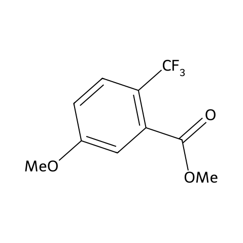 COC(=O)c1cc(OC)ccc1C(F)(F)F